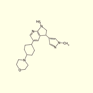 Cn1cc(C2CN(S)c3ncc(C4CCC(N5CCOCC5)CC4)cc32)cn1